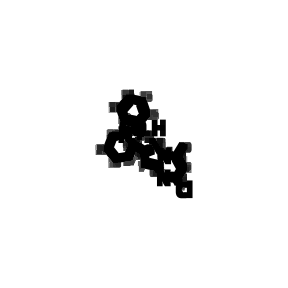 Cc1cc(Cl)nc2cc([C@@]3(Cc4ccccc4)CCCCN3C(=O)O)nn12